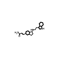 NC(=O)/C=C/c1ccc2c(c1)CCC2NCCc1c[nH]c2ccccc12